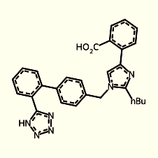 CCCCc1nc(-c2ccccc2C(=O)O)cn1Cc1ccc(-c2ccccc2-c2nnn[nH]2)cc1